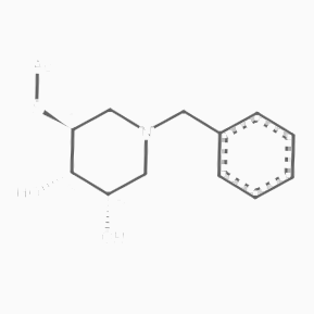 CC(=O)S[C@H]1CN(Cc2ccccc2)C[C@H](O)[C@@H]1O